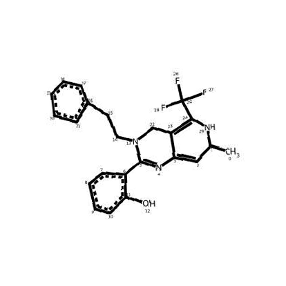 CC1C=C2N=C(c3ccccc3O)N(CCc3ccccc3)CC2=C(C(F)(F)F)N1